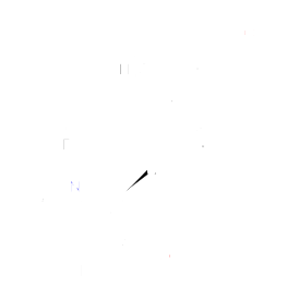 CCC(=O)[C@H](CCC(C)(C)C1COC1)N(CC)CC